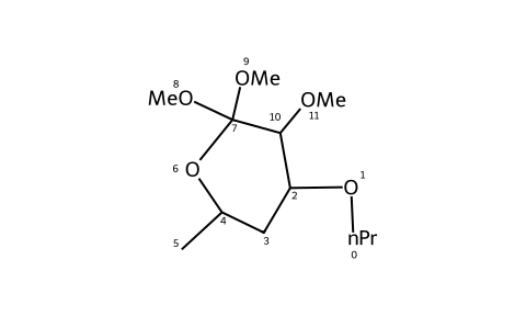 CCCOC1CC(C)OC(OC)(OC)C1OC